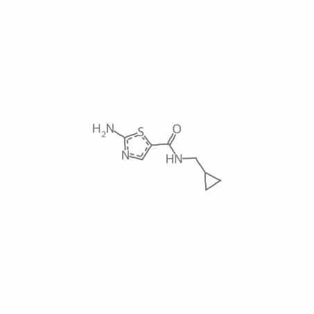 Nc1ncc(C(=O)NCC2CC2)s1